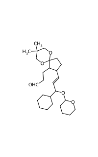 CC1(C)COC2(CCC(C=CC(OC3CCCCO3)C3CCCCC3)C2CCC=O)OC1